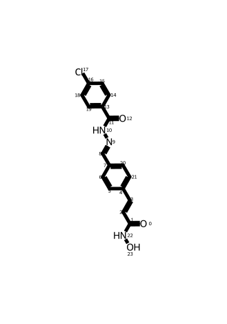 O=C(C=Cc1ccc(C=NNC(=O)c2ccc(Cl)cc2)cc1)NO